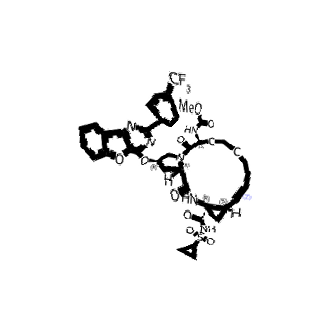 COC(=O)N[C@H]1CCCCC/C=C\[C@@H]2C[C@@]2(C(=O)NS(=O)(=O)C2CC2)NC(=O)[C@@H]2C[C@@H](Oc3nc(-c4ccc(C(F)(F)F)cc4)nc4c3oc3ccccc34)CN2C1=O